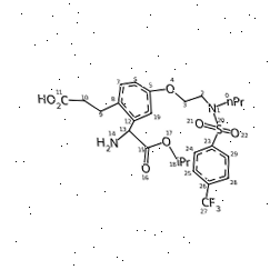 CCCN(CCOc1ccc(CCC(=O)O)c(C(N)C(=O)OC(C)C)c1)S(=O)(=O)c1ccc(C(F)(F)F)cc1